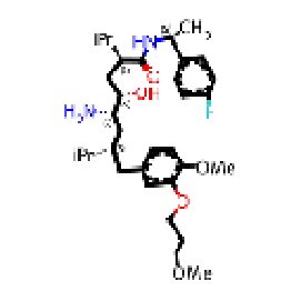 COCCCOc1cc(C[C@@H](C[C@H](N)[C@@H](O)C[C@H](C(=O)N[C@@H](C)c2ccc(F)cc2)C(C)C)C(C)C)ccc1OC